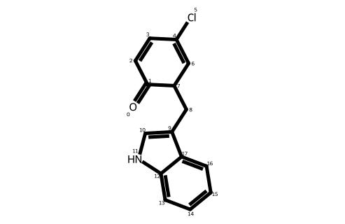 O=C1C=CC(Cl)=CC1Cc1c[nH]c2ccccc12